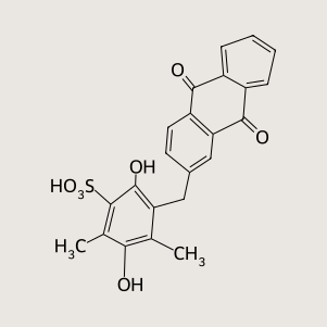 Cc1c(O)c(C)c(S(=O)(=O)O)c(O)c1Cc1ccc2c(c1)C(=O)c1ccccc1C2=O